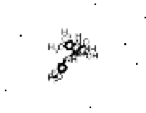 CC1CC2NC3C(=O)NC(O)N[C@H]3N(CCNCC3C=CC(OC(F)(F)F)CC3)C2CC1C